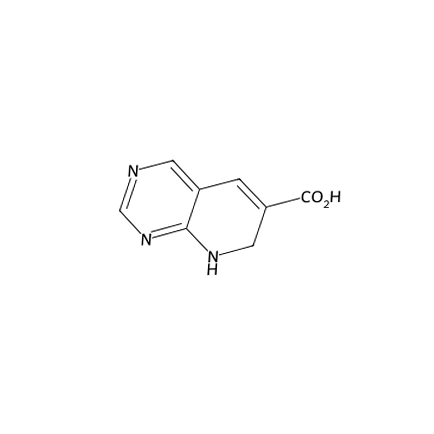 O=C(O)C1=Cc2cncnc2NC1